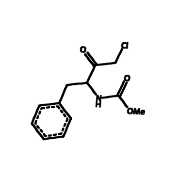 COC(=O)NC(Cc1ccccc1)C(=O)CCl